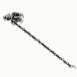 COCCOCCOCCOCCOCCOCCOCCOCCOCCOCCOCCOCCOCCOCCOCCOCCOCCOCCOCCOCCOCCOCCNC(=O)CCC(=O)OC[C@@H](c1ccc(-c2scnc2C)cc1)N(C=O)[C@@H]1C[C@@H](O[Si](C)(C)C(C)(C)C)CN1C(=O)[C@@H](NC(=O)OC(C)(C)C)C(C)(C)C